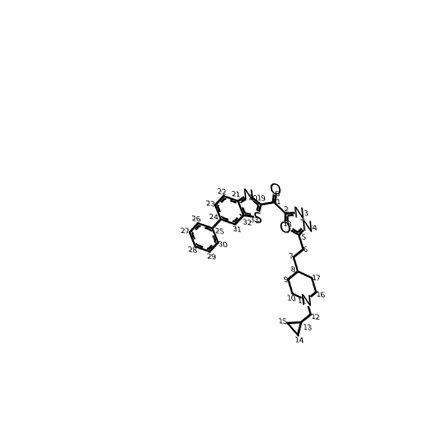 O=C(c1nnc(CCC2CCN(CC3CC3)CC2)o1)c1nc2ccc(-c3ccccc3)cc2s1